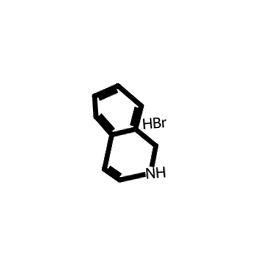 Br.C1=Cc2ccccc2CN1